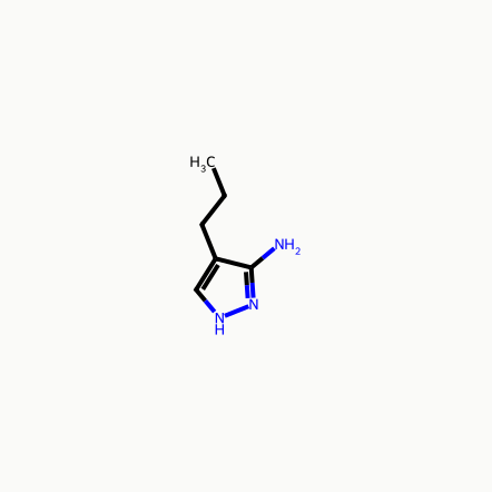 CCCc1c[nH]nc1N